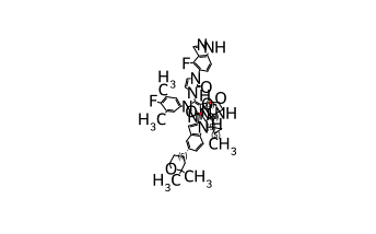 Cc1cc(-n2nc3c(c2-n2ccn(-c4ccc5[nH]ncc5c4F)c2=O)[C@@H]2CC[C@H](C3)N2C(=O)c2cc3cc([C@H]4CCOC(C)(C)C4)ccc3n2[C@@]2(c3noc(=O)[nH]3)C[C@@H]2C)cc(C)c1F